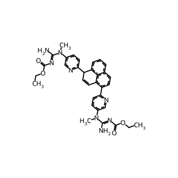 CCOC(=O)N=C(N)N(C)c1ccc(-c2ccc3cccc4c3c2C=CC4c2ccc(N(C)C(N)=NC(=O)OCC)cn2)nc1